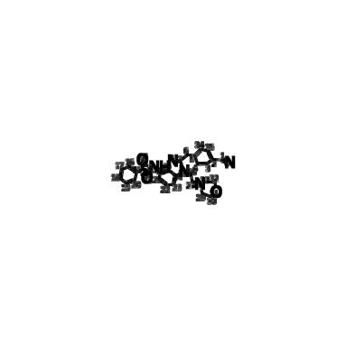 N#Cc1ccc(Cc2nc3c(NS(=O)(=O)c4ccccc4)cccc3n2CCN2CCOCC2)cc1